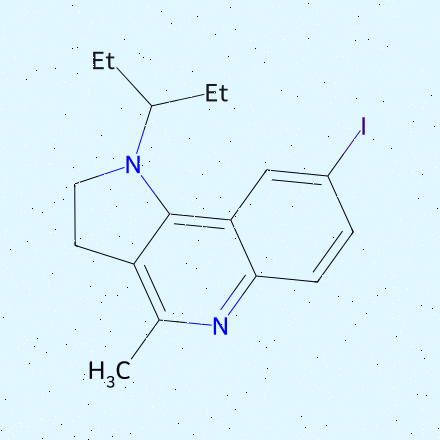 CCC(CC)N1CCc2c(C)nc3ccc(I)cc3c21